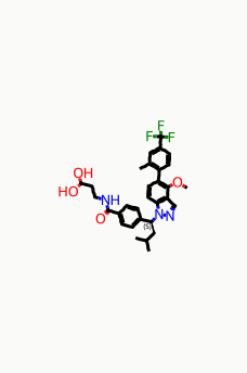 COc1c(-c2ccc(C(F)(F)F)cc2C)ccc2c1cnn2[C@@H](CC(C)C)c1ccc(C(=O)NCCC(O)O)cc1